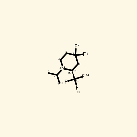 CC(C)N1CCC(F)(F)C[C@H]1C(F)(F)F